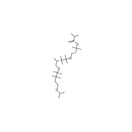 CC(C)OCCC(C)(C)C(C)(C)OCC(C)C(C)(C)C(C)(C)OCCC(C)(C)OC(=O)C(C)C